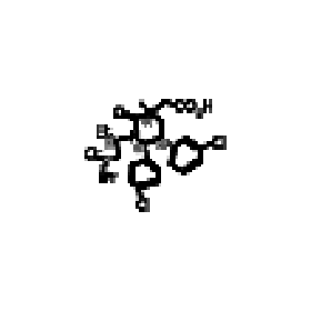 CC[C@@H](C[S+]([O-])C(C)C)N1C(=O)[C@](C)(CC(=O)O)C[C@H](c2cccc(Cl)c2)[C@H]1c1ccc(Cl)cc1